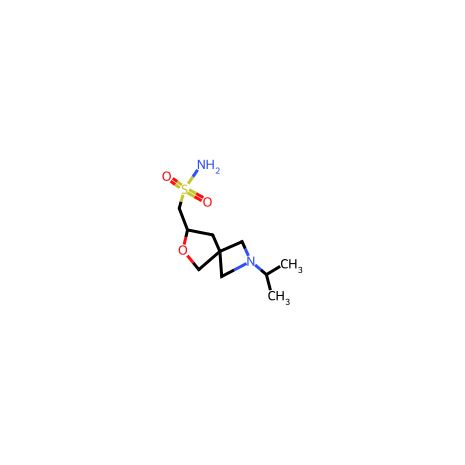 CC(C)N1CC2(COC(CS(N)(=O)=O)C2)C1